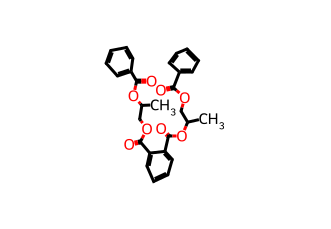 CC(COC(=O)c1ccccc1C(=O)OC(C)COC(=O)c1ccccc1)OC(=O)c1ccccc1